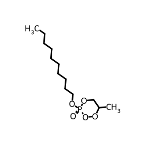 CCCCCCCCCCOP1(=O)OCC(C)OO1